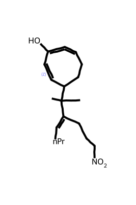 CCCC=C(CCC[N+](=O)[O-])C(C)(C)C1/C=C\C(O)=C=CCC1